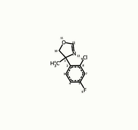 CC1(c2ccc(F)cc2Cl)CO[C]=N1